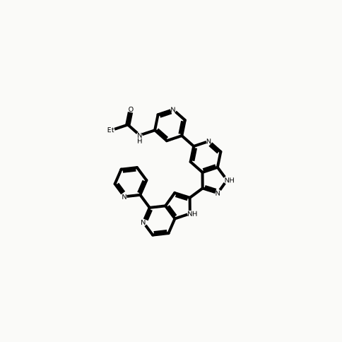 CCC(=O)Nc1cncc(-c2cc3c(-c4cc5c(-c6ccccn6)nccc5[nH]4)n[nH]c3cn2)c1